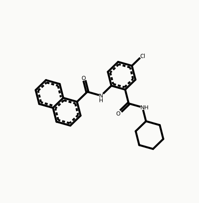 O=C(NC1CCCCC1)c1cc(Cl)ccc1NC(=O)c1cccc2ccccc12